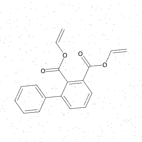 C=COC(=O)c1cccc(-c2ccccc2)c1C(=O)OC=C